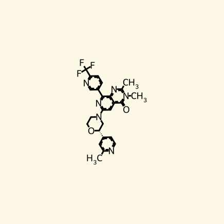 Cc1cc([C@H]2CN(c3cc4c(=O)n(C)c(C)nc4c(-c4ccc(C(F)(F)F)nc4)n3)CCO2)ccn1